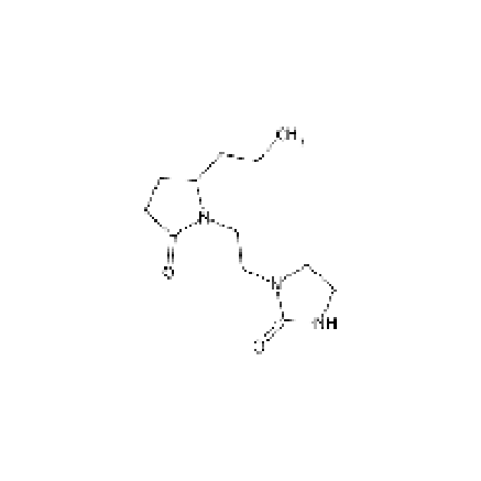 CCCC1CCC(=O)N1CCN1CCNC1=O